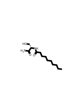 CCCCCCCCCC(=O)N[C@@H](CO)C(N)=O